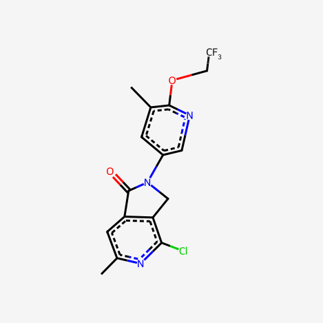 Cc1cc2c(c(Cl)n1)CN(c1cnc(OCC(F)(F)F)c(C)c1)C2=O